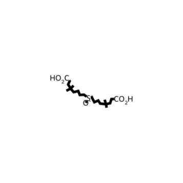 CC(C)(CCCC[S+]([O-])CCCCC(C)(C)CCC(=O)O)CCC(=O)O